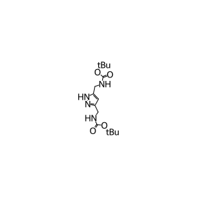 CC(C)(C)OC(=O)NCc1cc(CNC(=O)OC(C)(C)C)[nH]n1